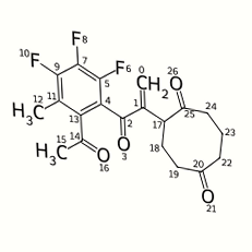 C=C(C(=O)c1c(F)c(F)c(F)c(C)c1C(C)=O)C1CCC(=O)CCCC1=O